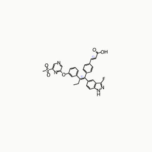 CC/C(=C(/c1ccc(/C=C/C(=O)O)cc1)c1ccc2[nH]nc(F)c2c1)c1cccc(Oc2cncc(S(C)(=O)=O)n2)c1